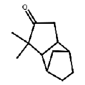 CC1(C)C(=O)CC2C3CCC(C3)C21